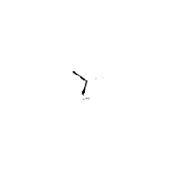 CCO.[In+3]